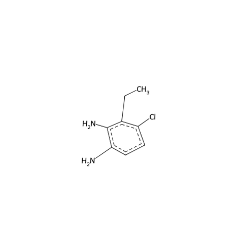 CCc1c(Cl)ccc(N)c1N